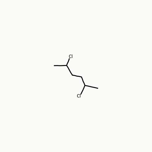 CC(Cl)CCC(C)Cl